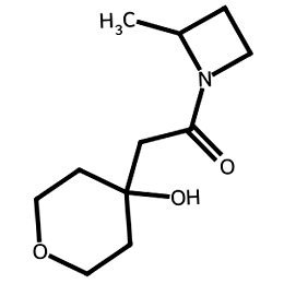 CC1CCN1C(=O)CC1(O)CCOCC1